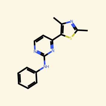 Cc1nc(C)c(-c2ccnc(Nc3ccccc3)n2)s1